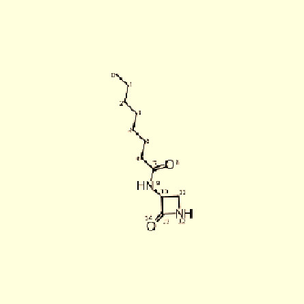 CCCCCCCC(=O)N[C@H]1CNC1=O